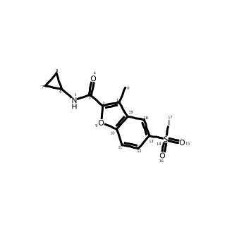 Cc1c(C(=O)NC2CC2)oc2ccc(S(=O)(=O)I)cc12